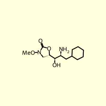 CON1C[C@@H]([C@H](O)[C@@H](N)CC2CCCCC2)OC1=O